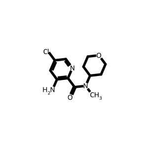 CN(C(=O)c1ncc(Cl)cc1N)C1CCOCC1